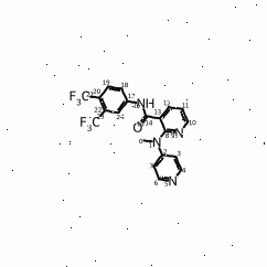 CN(c1ccncc1)c1ncccc1C(=O)Nc1ccc(C(F)(F)F)c(C(F)(F)F)c1